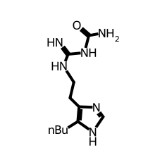 CCCCc1[nH]cnc1CCNC(=N)NC(N)=O